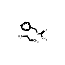 C=CCN.NC(=O)OCc1ccccc1